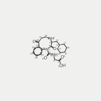 O=C(O)CNC(=O)N1C(=O)C(CC2CCCCC2)NCCC(=O)c2ccccc21